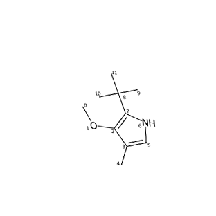 COc1c(C)c[nH]c1C(C)(C)C